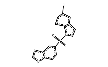 O=S(=O)(c1ccc2ncsc2c1)n1ccc2cc(Cl)ccc21